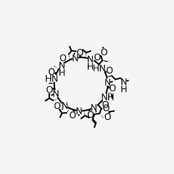 C/C=C/C[C@@H](C)[C@@H](OC(C)=O)[C@H]1C(=O)N[C@@H](CC)C(=O)N(C)[C@H](CCCNC)C(=O)N[C@@H]([C@H](C)COC)C(=O)N[C@@H](C(C)C)C(=O)N(C)[C@@H](CC(C)C)C(=O)N[C@@H](C)C(=O)N[C@H](C)C(=O)N(C)[C@@H](CC(C)C)C(=O)N(C)[C@@H](CC(C)C)C(=O)N(C)[C@@H](C(C)C)C(=O)N1C